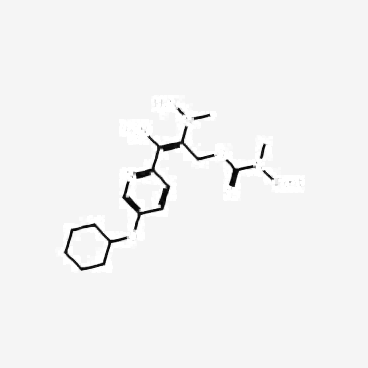 CCCC(C)N(C)C(=O)OC/C(=C(/N)c1ccc(OC2CCCCC2)cn1)N(C)N